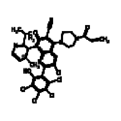 C=CC(=O)N1CCN(c2c(C#N)c(=O)n(C3C(C(C)C)=NC=C[C@H]3C)c3nc(-c4c(O)c(Cl)c(Cl)c(Cl)c4Cl)c(Cl)cc23)CC1